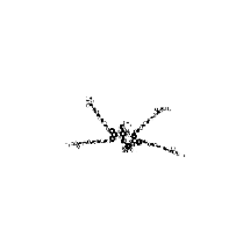 CCOC(=O)CSCCOCCOCCOCCOc1ccc(-c2nc3c(C)c4nsnc4c(-c4ccc(-c5c6nsnc6c(-c6ccc(C)s6)c6nc(-c7ccc(OCCOCCOCCOCCSCC(=O)OCC)cc7)c(-c7ccc(OCCOCCOCCOCCSCC(=O)OCC)cc7)nc56)s4)c3nc2-c2ccc(OCCOCCOCCOCCSCC(=O)OCC)cc2)cc1